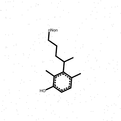 CCCCCCCCCCCCC(C)c1c(C)ccc(O)c1C